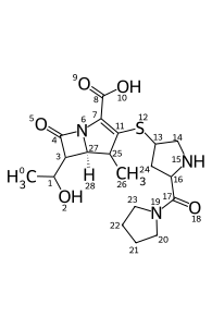 CC(O)C1C(=O)N2C(C(=O)O)=C(SC3CNC(C(=O)N4CCCC4)C3)C(C)[C@@H]12